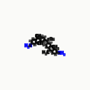 CCCCC(c1ccc(C(C)c2ccc(N)cc2C)cc1)c1ccc(C(C)c2ccc(N)cc2C)cc1